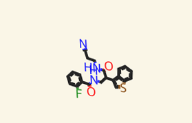 N#CCCNC(=O)C(CNC(=O)c1ccccc1F)c1csc2ccccc12